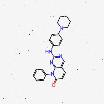 O=c1ccc2cnc(Nc3ccc(N4CCCCC4)cc3)nc2n1-c1ccccc1